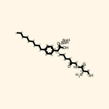 CCCCCCCCCc1ccc([C@@H](CCCCC(=O)CNC(=O)[C@@H](N)CS)C(=O)O)cc1.[NaH].[NaH]